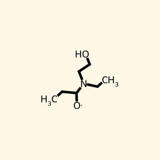 CCC([O])N(CC)CCO